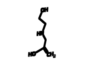 C=C(O)CNCCO